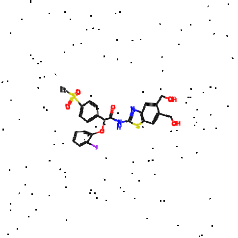 CCS(=O)(=O)c1ccc(C(Oc2ccccc2I)C(=O)Nc2nc3cc(CO)c(CO)cc3s2)cc1